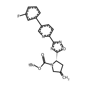 C=C1C[C@@H](c2nc(-c3ccc(-c4cccc(F)c4)cn3)no2)N(C(=O)OC(C)(C)C)C1